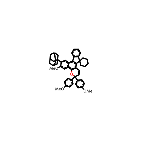 COc1ccc(C2(c3ccc(OC)cc3)C=Cc3c4c(c5cc(C67CC8CC(CC(C8)C6)C7)c(OC)cc5c3O2)-c2ccccc2C42CCCCC2)cc1